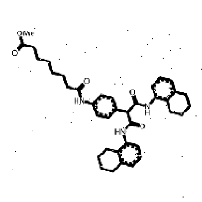 COC(=O)CCCCCCC(=O)Nc1ccc(C(C(=O)Nc2cccc3c2CCCC3)C(=O)Nc2cccc3c2CCCC3)cc1